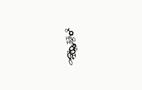 CC(=O)c1cccc(NC(=O)N[C@H]2CC[C@H]3[C@@H]4CC[C@H]5N(C)C(=O)C=C[C@]5(C)[C@H]4CC[C@]23C)c1